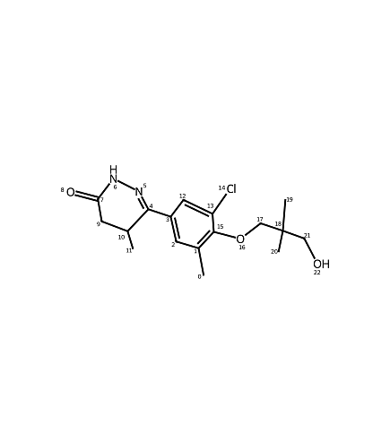 Cc1cc(C2=NNC(=O)CC2C)cc(Cl)c1OCC(C)(C)CO